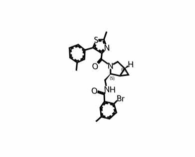 Cc1cccc(-c2sc(C)nc2C(=O)N2C[C@@H]3CC3[C@H]2CNC(=O)c2cc(C)ccc2Br)c1